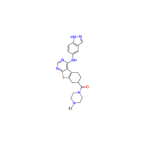 CCN1CCN(C(=O)C2CCc3c(sc4ncnc(Nc5ccc6[nH]ncc6c5)c34)C2)CC1